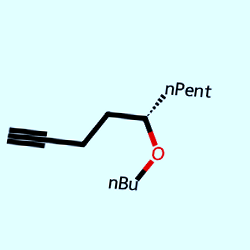 C#CCC[C@H](CCCCC)OCCCC